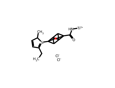 CCC1=[Si](C23CCC4(C(=O)[NH][Ti+2])C5C46C2C536)C(C)C=C1.[Cl-].[Cl-]